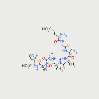 CC(C)[C@H](NC(=O)[C@H](C)NC(=O)[C@H](C)NC(=O)[C@H](C)NC(=O)CNC(=O)[C@@H](N)CCC(=O)O)C(=O)N[C@H](C(=O)N[C@@H](CCC(=O)O)C(=O)O)C(C)C